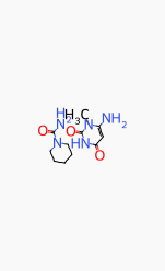 Cn1c(N)cc(=O)[nH]c1=O.NC(=O)N1CCCCC1